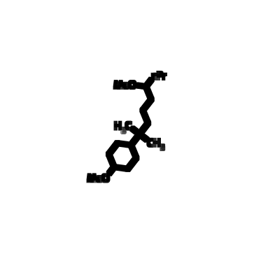 CCCC(CCCC(C)(C)C1CCC(OC)CC1)OC